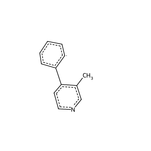 Cc1cnccc1-c1[c]cccc1